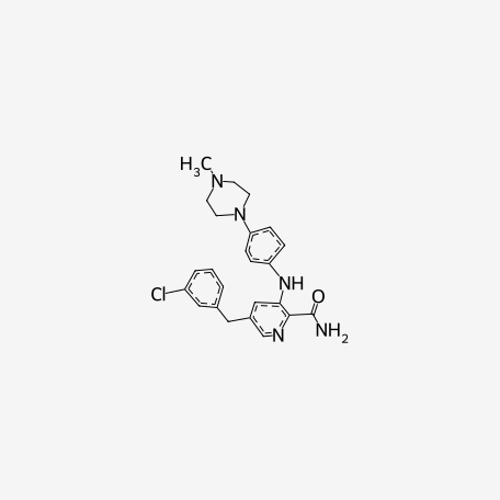 CN1CCN(c2ccc(Nc3cc(Cc4cccc(Cl)c4)cnc3C(N)=O)cc2)CC1